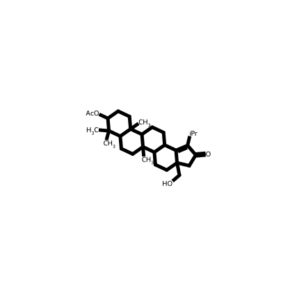 CC(=O)OC1CCC2(C)C(CCC3(C)C4CCC5(CO)CC(=O)C(C(C)C)=C5C4CCC32)C1(C)C